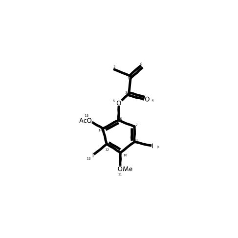 C=C(C)C(=O)Oc1cc(I)c(OC)c(I)c1OC(C)=O